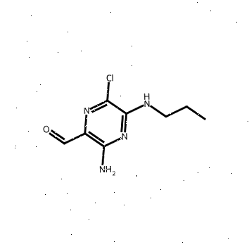 CCCNc1nc(N)c(C=O)nc1Cl